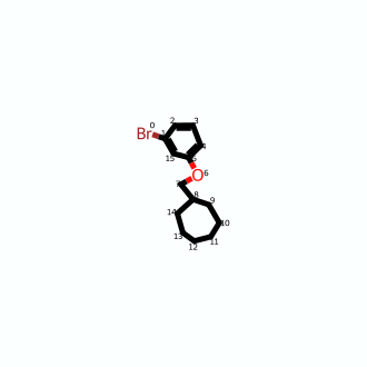 Brc1cccc(OCC2CCCCCC2)c1